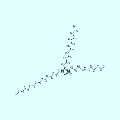 CCCCCCCCCCCCCCCCn1cc[n+](CCCCCCCCCCC)c1CCCCCCCCCCCCC